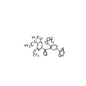 COc1ccc(-c2ncco2)cc1C(=O)c1cc(OC)c(OC)c(OC)c1